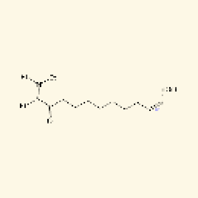 CCCCCCCC/C=C\CCCCCCCC(=O)N(CC)N(CC)CC